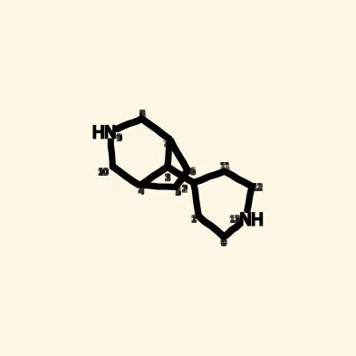 C1CC(C2C3CCC2CNC3)CCN1